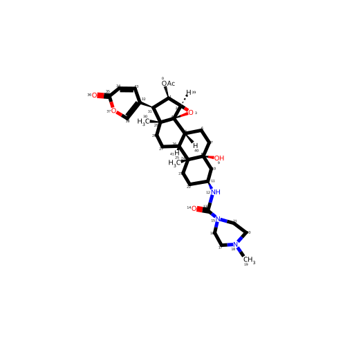 CC(=O)O[C@H]1[C@H]2O[C@]23[C@@H]2CC[C@]4(O)C[C@@H](NC(=O)N5CCN(C)CC5)CC[C@]4(C)[C@H]2CC[C@]3(C)[C@H]1c1ccc(=O)oc1